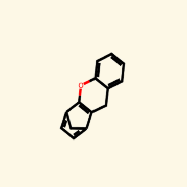 C1=C2CC(=C1)C1=C2Cc2ccccc2O1